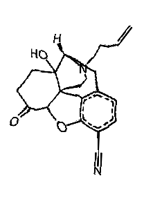 C=CCN1CC[C@@]23c4c5ccc(C#N)c4OC2C(=O)CCC3(O)[C@@H]1C5